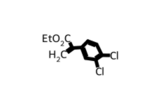 C=C(C(=O)OCC)c1ccc(Cl)c(Cl)c1